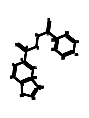 C=C(CCC(=C)c1ccc2c(c1)N=CC2)c1ccccc1